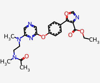 CCOC(=O)c1ncoc1-c1ccc(Oc2cncc(N(C)CCN(C)C(C)=O)n2)cc1